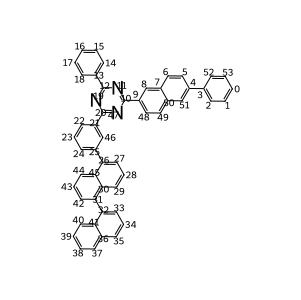 c1ccc(-c2ccc3cc(-c4nc(-c5ccccc5)nc(-c5cccc(-c6cccc7c(-c8cccc9ccccc89)cccc67)c5)n4)ccc3c2)cc1